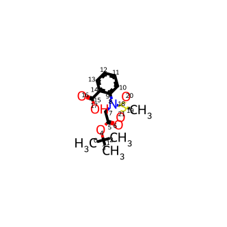 CC(C)(C)OC(=O)CN(c1ccccc1C(=O)O)S(C)(=O)=O